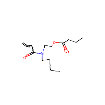 C=CC(=O)N(CCCC)CCOC(=O)CCC